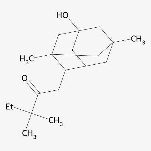 CCC(C)(C)C(=O)CC1C2CC3(C)CC(O)(C2)CC1(C)C3